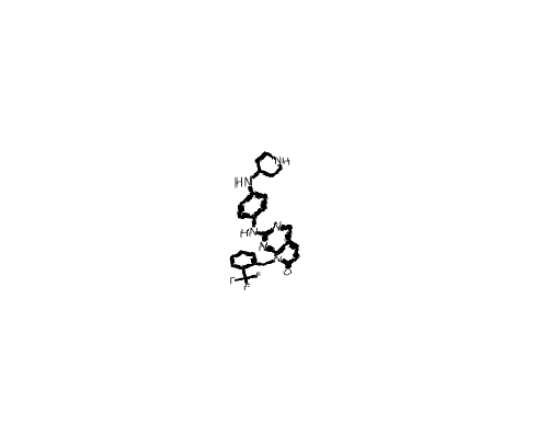 O=c1ccc2cnc(Nc3ccc(NC4CCNCC4)cc3)nc2n1Cc1ccccc1C(F)(F)F